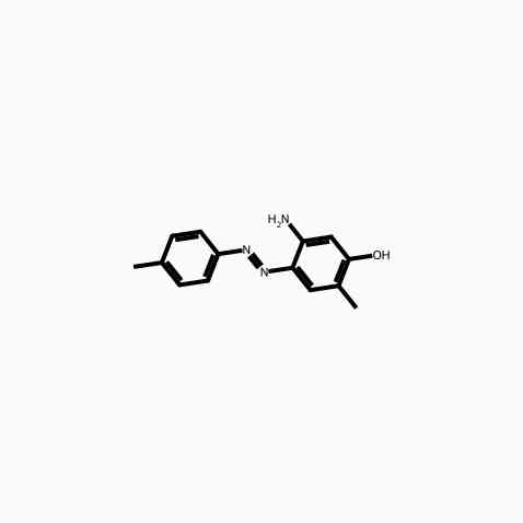 Cc1ccc(N=Nc2cc(C)c(O)cc2N)cc1